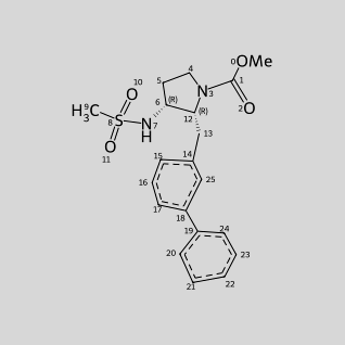 COC(=O)N1CC[C@@H](NS(C)(=O)=O)[C@H]1Cc1cccc(-c2ccccc2)c1